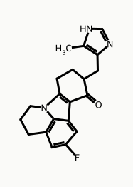 Cc1[nH]cnc1CC1CCc2c(c3cc(F)cc4c3n2CCC4)C1=O